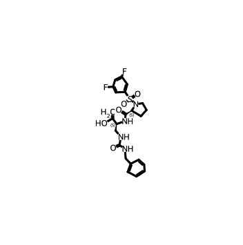 C=C(O)[C@H](CNC(=O)NCc1ccccc1)NC(=O)[C@@H]1CCCN1S(=O)(=O)c1cc(F)cc(F)c1